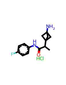 CC(C(=O)Nc1ccc(F)cc1)C12CC(N)(C1)C2.Cl